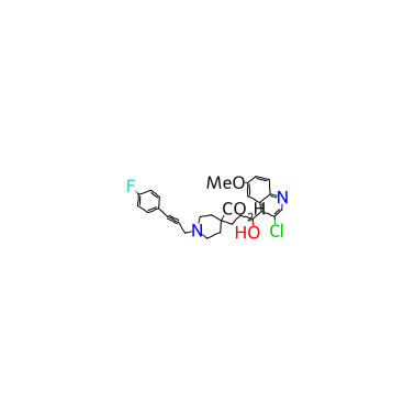 COc1ccc2ncc(Cl)c([C@@H](O)CCC3(C(=O)O)CCN(CC#Cc4ccc(F)cc4)CC3)c2c1